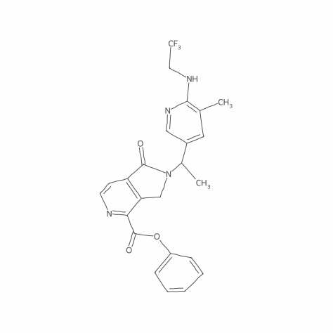 Cc1cc(C(C)N2Cc3c(ccnc3C(=O)Oc3ccccc3)C2=O)cnc1NCC(F)(F)F